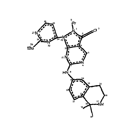 CC(C)n1c(=O)c2cnc(Nc3ccc4c(c3)CCNC4(C)C)nc2n1-c1ccnc(C(C)(C)C)n1